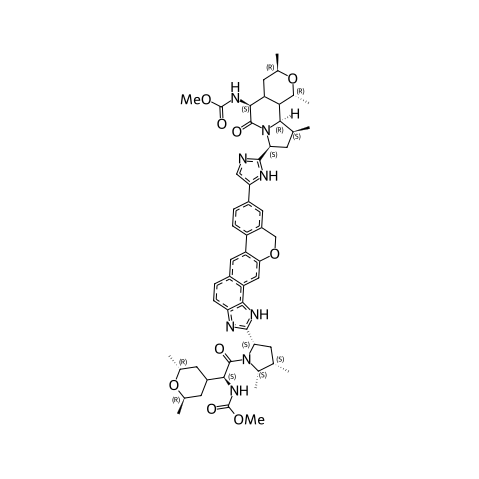 COC(=O)N[C@H](C(=O)N1[C@H](c2nc3ccc4cc5c(cc4c3[nH]2)OCc2cc(-c3cnc([C@@H]4C[C@H](C)[C@@H]6C7C(C[C@@H](C)O[C@@H]7C)[C@H](NC(=O)OC)C(=O)N46)[nH]3)ccc2-5)C[C@H](C)[C@@H]1C)C1C[C@@H](C)O[C@H](C)C1